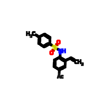 C=Cc1cc(C(C)=O)ccc1NS(=O)(=O)c1ccc(C)cc1